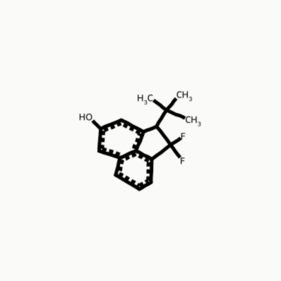 CC(C)(C)C1c2cc(O)cc3cccc(c23)C1(F)F